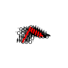 O=C([O-])O[C@@H](C(=O)[O-])[C@@H](O)[C@H](O)[C@H](O)CO.O=C([O-])O[C@@H](C(=O)[O-])[C@@H](O)[C@H](O)[C@H](O)CO.O=C([O-])O[C@@H](C(=O)[O-])[C@@H](O)[C@H](O)[C@H](O)CO.O=C([O-])[C@H](O)[C@@H](O)[C@H](O)[C@H](O)CO.O=C([O-])[C@H](O)[C@@H](O)[C@H](O)[C@H](O)CO.O=C([O-])[C@H](O)[C@@H](O)[C@H](O)[C@H](O)CO.O=C([O-])[C@H](O)[C@@H](O)[C@H](O)[C@H](O)CO.O=C([O-])[C@H](O)[C@@H](O)[C@H](O)[C@H](O)CO.O=C([O-])[C@H](O)[C@@H](O)[C@H](O)[C@H](O)CO.[Fe+3].[Fe+3].[Fe+3].[Fe+3]